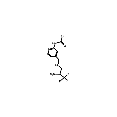 NC(CNCc1cnnc(NC(=O)O)c1)C(F)(F)F